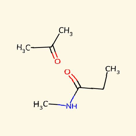 CC(C)=O.CCC(=O)NC